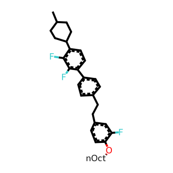 CCCCCCCCOc1ccc(CCc2ccc(-c3ccc(C4CCC(C)CC4)c(F)c3F)cc2)cc1F